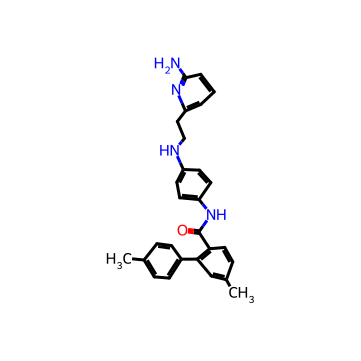 Cc1ccc(-c2cc(C)ccc2C(=O)Nc2ccc(NCCc3cccc(N)n3)cc2)cc1